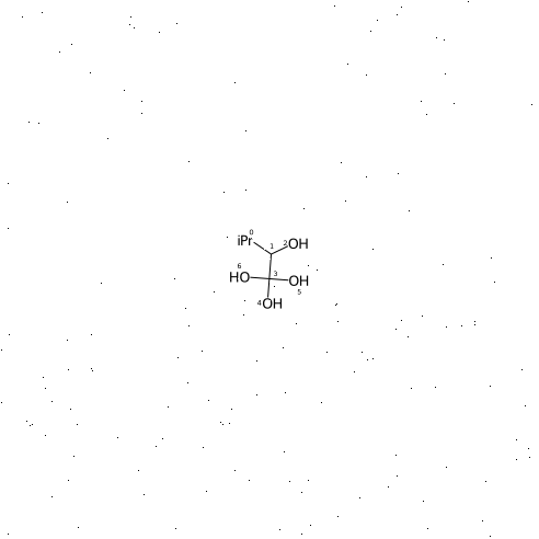 CC(C)C(O)C(O)(O)O